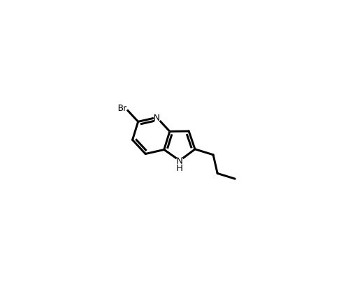 CCCc1cc2nc(Br)ccc2[nH]1